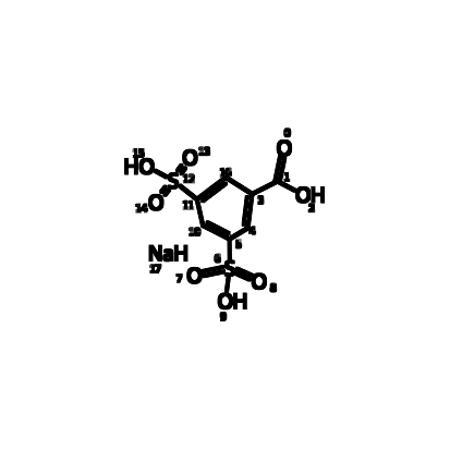 O=C(O)c1cc(S(=O)(=O)O)cc(S(=O)(=O)O)c1.[NaH]